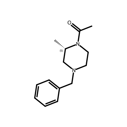 CC(=O)N1CCN(Cc2ccccc2)C[C@@H]1C